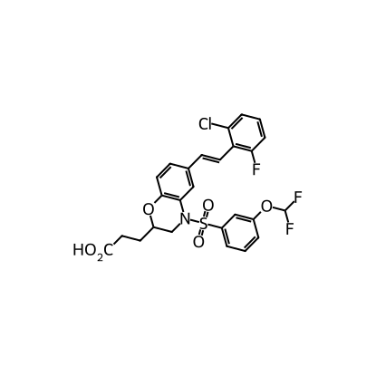 O=C(O)CCC1CN(S(=O)(=O)c2cccc(OC(F)F)c2)c2cc(C=Cc3c(F)cccc3Cl)ccc2O1